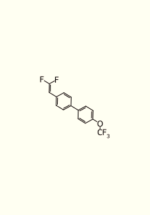 FC(F)=Cc1ccc(-c2ccc(OC(F)(F)F)cc2)cc1